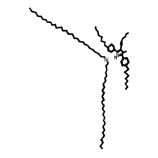 CCCCC#CC1=C(c2ccc(CCCCCCCC)cc2)[N+](=[N-])C(c2ccc(CCCCCCCC)cc2)=C1C.CCCCCCCCCCCCCCCCCCCCCCCCCCCC[CH2][Ni][CH2]CCCCCCCCCCCCCCCCCCCCCCCCCCCC